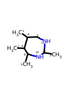 CC1NCC(C)C(C)C(C)N1